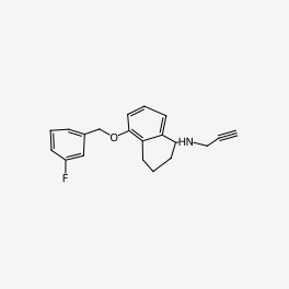 C#CCNC1CCCc2c(OCc3cccc(F)c3)cccc21